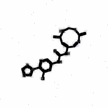 C=C1/C=C(NC(=O)Nc2cnc(-n3cncn3)c(Cl)c2)\C=N/C(=C)SCN1